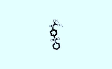 CC(C)Nc1ccc(S(=O)(=O)N2CCCCC2)cc1